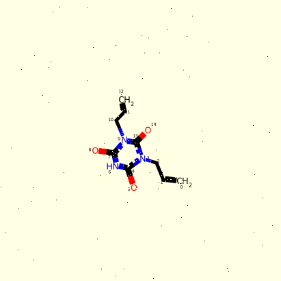 C=CCn1c(=O)[nH]c(=O)n(CC=C)c1=O